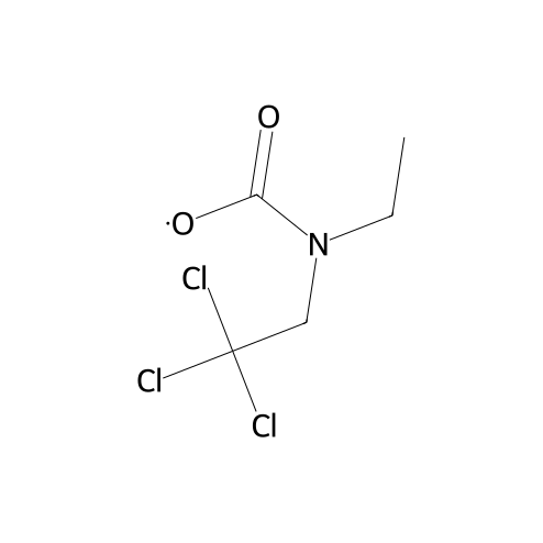 CCN(CC(Cl)(Cl)Cl)C([O])=O